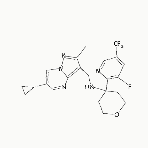 Cc1nn2cc(C3CC3)cnc2c1CNC1(c2ncc(C(F)(F)F)cc2F)CCOCC1